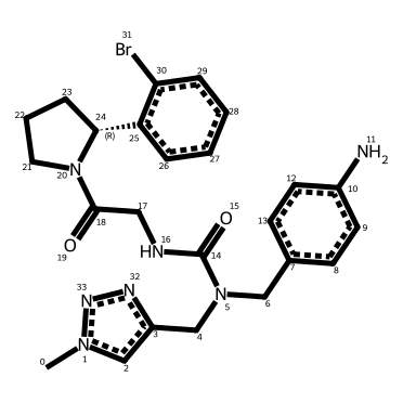 Cn1cc(CN(Cc2ccc(N)cc2)C(=O)NCC(=O)N2CCC[C@@H]2c2ccccc2Br)nn1